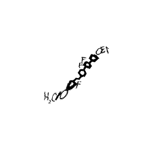 C=CCOc1ccc(CCC2CCC(c3ccc(-c4ccc(OCC)cc4)c(F)c3F)CC2)c(F)c1